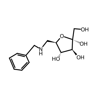 OC[C@]1(O)O[C@H](CNCc2ccccc2)[C@@H](O)[C@@H]1O